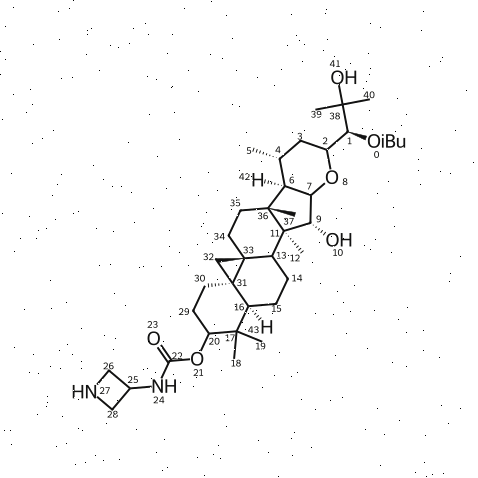 CC(C)CO[C@@H](C1C[C@@H](C)[C@H]2C(O1)[C@H](O)[C@@]1(C)C3CC[C@H]4C(C)(C)C(OC(=O)NC5CNC5)CC[C@@]45C[C@@]35CC[C@]21C)C(C)(C)O